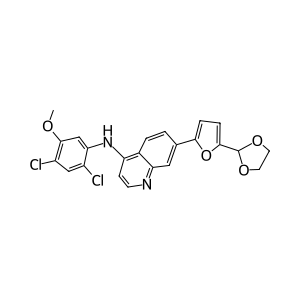 COc1cc(Nc2ccnc3cc(-c4ccc(C5OCCO5)o4)ccc23)c(Cl)cc1Cl